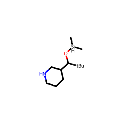 C[SiH](C)OC(C1CCCNC1)C(C)(C)C